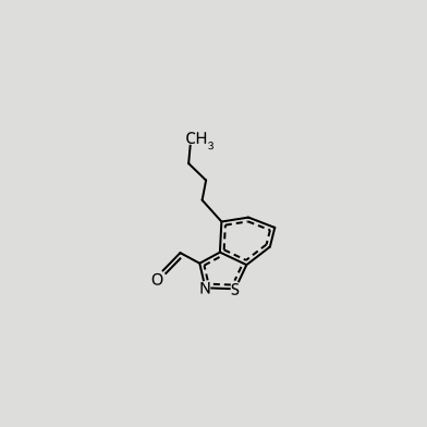 CCCCc1cccc2snc(C=O)c12